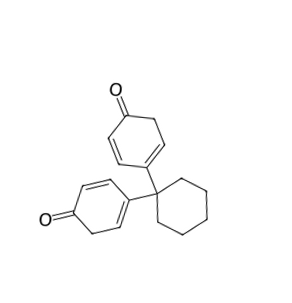 O=C1C=CC(C2(C3=CCC(=O)C=C3)CCCCC2)=CC1